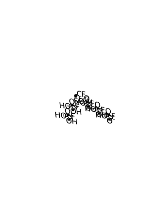 O=S(=O)(O)CC(F)(F)F.O=[As](O)(O)F.O=[As](O)(O)F.O=[As](O)(O)F.O=[As](O)(O)F.O=[As]([O-])(O)F.[Li+]